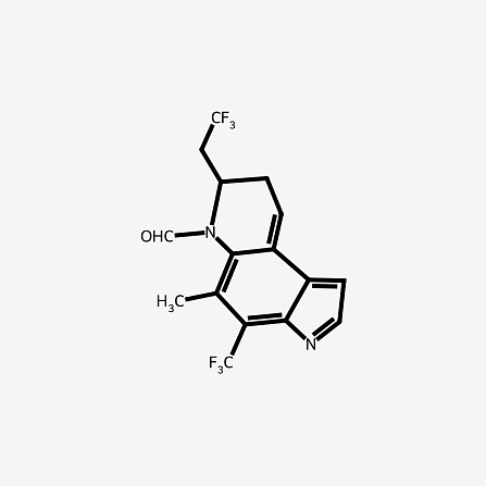 Cc1c(C(F)(F)F)c2c(c3c1N(C=O)C(CC(F)(F)F)CC=3)=CC=N2